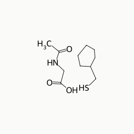 CC(=O)NCC(=O)O.SCC1CCCCC1